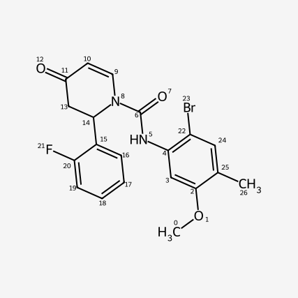 COc1cc(NC(=O)N2C=CC(=O)CC2c2ccccc2F)c(Br)cc1C